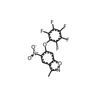 Cc1noc2cc(Oc3c(F)c(F)c(F)c(F)c3F)c([N+](=O)[O-])cc12